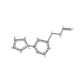 C=NOCc1cccc(-n2ccnc2)c1